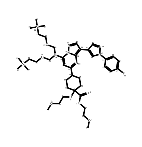 COCCOC(=O)C1(OCCOC)CCC(c2cc(N(COCC[Si](C)(C)C)COCC[Si](C)(C)C)n3ncc(-c4cnn(-c5ccc(F)cc5)c4)c3n2)CC1